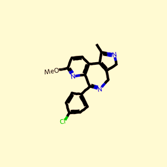 COc1ccc2c(n1)C(c1ccc(Cl)cc1)=NCC1=C2C(C)=NC1